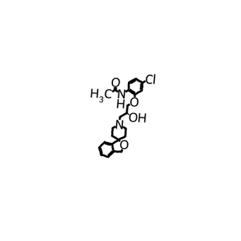 CC(=O)Nc1ccc(Cl)cc1OC[C@H](O)CN1CCC2(CC1)OCc1ccccc12